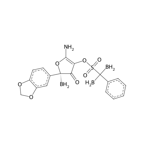 BC(B)(c1ccccc1)S(=O)(=O)OC1=C(N)O[C@](B)(c2ccc3c(c2)OCO3)C1=O